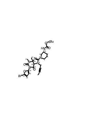 CC#CCN1C(N2CCC[C@@H](NC(=O)OC(C)(C)C)C2)=NC2(C)C1C(=O)N(c1ccc(Br)o1)C(=O)N2C